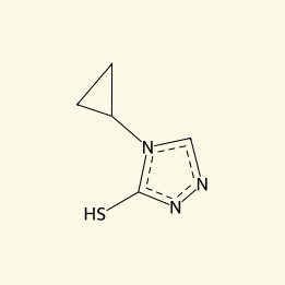 Sc1nncn1C1CC1